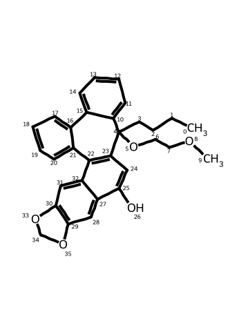 CCCCC1(OCCOC)c2ccccc2-c2ccccc2-c2c1cc(O)c1cc3c(cc21)OCO3